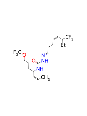 C/C=C\C(CCCOC(F)(F)F)NC(=O)NN=CCC/C=C\C(CC)C(F)(F)F